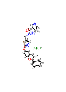 Cl.O=C(NCc1cnc(Oc2ccc3c(c2)CCC(c2ccccc2)O3)s1)c1cccnc1